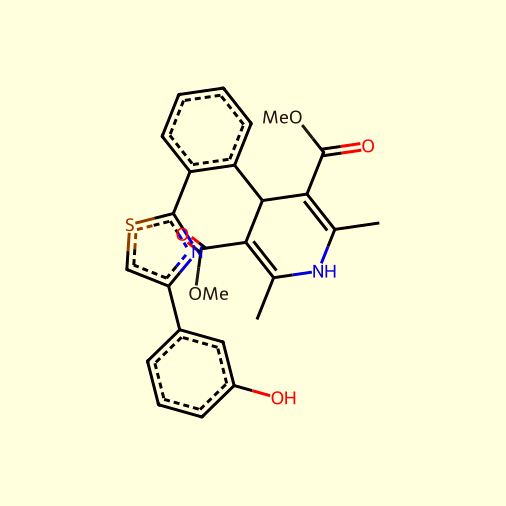 COC(=O)C1=C(C)NC(C)=C(C(=O)OC)C1c1ccccc1-c1nc(-c2cccc(O)c2)cs1